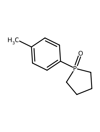 Cc1ccc(P2(=O)CCCC2)cc1